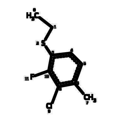 CCSc1ccc(C)c(Cl)c1F